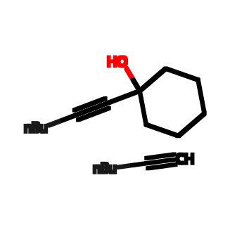 C#CCCCC.CCCCC#CC1(O)CCCCC1